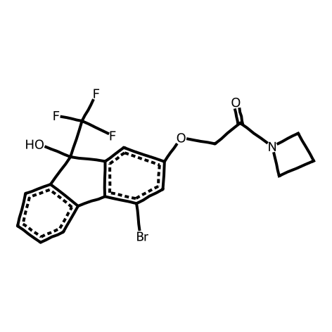 O=C(COc1cc(Br)c2c(c1)C(O)(C(F)(F)F)c1ccccc1-2)N1CCC1